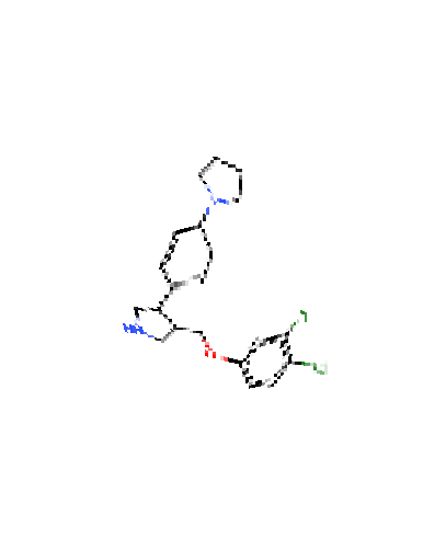 Clc1ccc(OCC2CNCC2C2=CCC(N3CCCC3)C=C2)cc1Cl